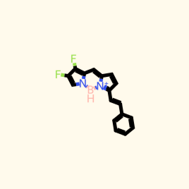 Fc1cn2c(c1F)C=C1C=CC(C=Cc3ccccc3)=[N+]1B2